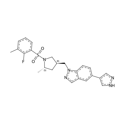 Cc1cccc(S(=O)(=O)N2C[C@@H](Cn3ncc4cc(-c5cn[nH]c5)ccc43)C[C@@H]2C)c1F